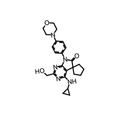 O=C1N(c2ccc(N3CCOCC3)cc2)c2nc(CO)nc(NC3CC3)c2C12CCCC2